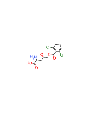 NC(CC(=O)COC(=O)c1c(Cl)cccc1Cl)C(=O)O